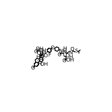 CC(C)SCC(=O)NCC(=O)N[C@@H](CCC(=O)O)C(=O)NC1CCC(Oc2ccc([C@@H]3O[C@@H]4C[C@H]5[C@@H]6CCC7=CC(=O)C=C[C@]7(C)[C@H]6[C@@H](O)C[C@]5(C)[C@]4(C(=O)COP(=O)(O)O)O3)c(F)c2)CC1